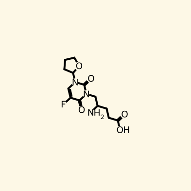 NC(CCC(=O)O)Cn1c(=O)c(F)cn(C2CCCO2)c1=O